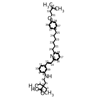 CCC(CC)(CCNc1cccc(C=Cc2cccc(CCCCCCc3ccc(OCCC(C)C)cc3)n2)c1)C(=O)O